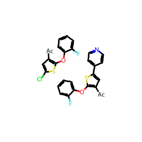 CC(=O)c1cc(-c2ccncc2)sc1Oc1ccccc1F.CC(=O)c1cc(Cl)sc1Oc1ccccc1F